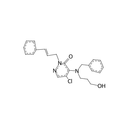 O=c1c(N(CCCO)Cc2ccccc2)c(Cl)cnn1CC=Cc1ccccc1